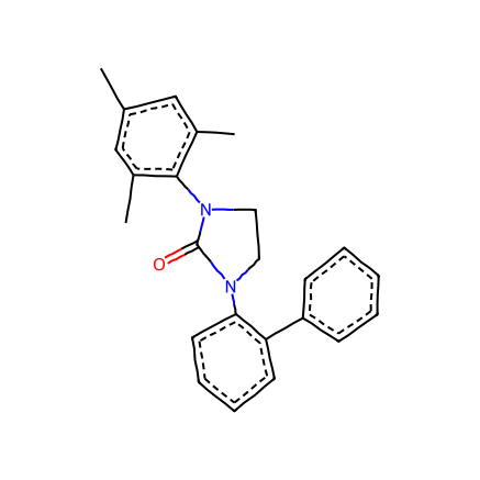 Cc1cc(C)c(N2CCN(c3ccccc3-c3ccccc3)C2=O)c(C)c1